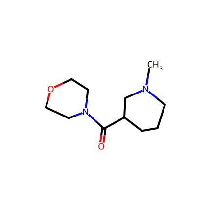 CN1CCCC(C(=O)N2CCOCC2)C1